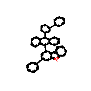 c1ccc(-c2cccc(-c3c4ccccc4c(-c4cc(-c5ccccc5)cc5oc6ccccc6c45)c4ccccc34)c2)cc1